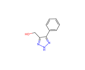 OCc1n[nH]nc1-c1ccccc1